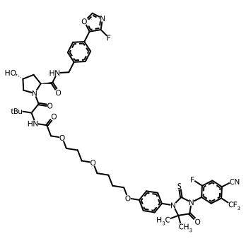 CC(C)(C)C(NC(=O)COCCCOCCCCOc1ccc(N2C(=S)N(c3cc(C(F)(F)F)c(C#N)cc3F)C(=O)C2(C)C)cc1)C(=O)N1C[C@H](O)C[C@H]1C(=O)NCc1ccc(-c2ocnc2F)cc1